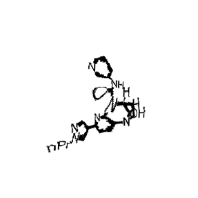 CCCn1cc(-c2ccc3c(n2)N(C(=O)Nc2cccnc2)[C@H]2CCN3[C@H]2O)cn1